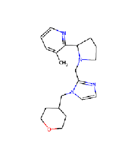 Cc1cccnc1C1CCCN1Cc1nccn1CC1CCOCC1